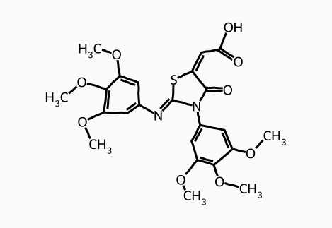 COc1cc(N=C2SC(=CC(=O)O)C(=O)N2c2cc(OC)c(OC)c(OC)c2)cc(OC)c1OC